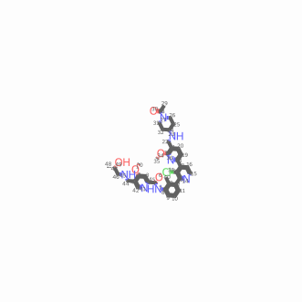 COc1cc(C(=O)Nc2cccc(-c3nccc(-c4ccc(CNC5CCN(C(C)=O)CC5)c(OC)n4)c3Cl)c2C)ncc1CNC[C@H](C)O